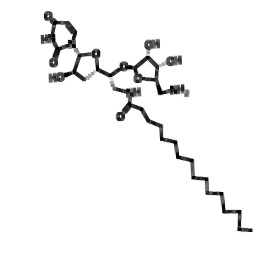 CCCCCCCCCCCCCCCC(=O)NC[C@@H](O[C@@H]1O[C@H](CN)[C@@H](O)[C@H]1O)[C@@H]1C[C@@H](O)[C@H](n2ccc(=O)[nH]c2=O)O1